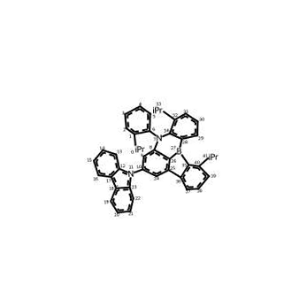 CC(C)c1ccccc1N1c2cc(-n3c4ccccc4c4ccccc43)cc3c2B(c2cccc(C(C)C)c21)c1c-3cccc1C(C)C